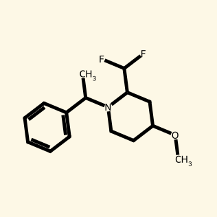 COC1CCN(C(C)c2ccccc2)C(C(F)F)C1